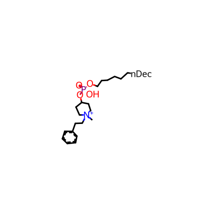 CCCCCCCCCCCCCCCCOP(=O)(O)OC1CC[N+](C)(CCc2ccccc2)CC1